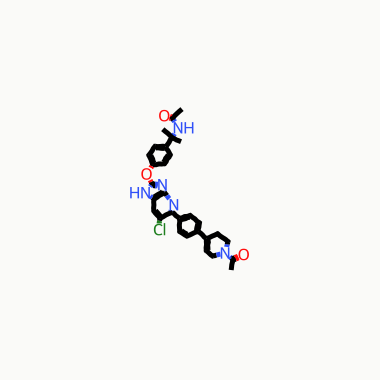 CC(=O)NC(C)(C)c1ccc(Oc2nc3nc(-c4ccc(C5=CCN(C(C)=O)CC5)cc4)c(Cl)cc3[nH]2)cc1